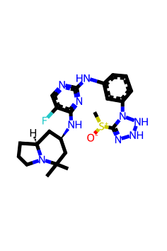 C[S+]([O-])C1=NNNN1c1cccc(Nc2ncc(F)c(N[C@@H]3C[C@@H]4CCCN4C(C)(C)C3)n2)c1